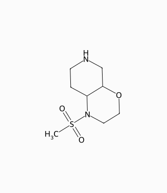 CS(=O)(=O)N1CCOC2CNCCC21